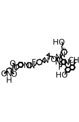 CCc1c(F)ccc2cc(O)cc(-c3ncc4c(N5CCC[C@H](CCO)C5)nc(OCC5(CN6CC7(CCC(F)(CN8CCN(c9ccc%10c(c9)CN([C@H]9CCC(=O)NC9=O)C%10=O)CC8)CC7)C6)CC5)nc4c3F)c12